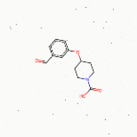 O=Cc1cccc(OC2CCN(C(=O)O)CC2)c1